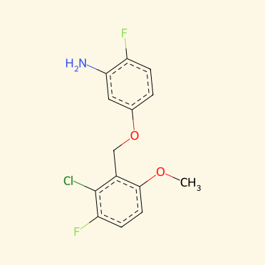 COc1ccc(F)c(Cl)c1COc1ccc(F)c(N)c1